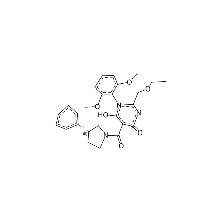 CCOCc1nc(=O)c(C(=O)N2CC[C@H](c3ccccc3)C2)c(O)n1-c1c(OC)cccc1OC